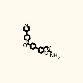 CN(Cc1cccc(-c2ccc(C(=O)N3CCC(c4ccncc4)CC3)cc2)c1)C(=O)CN